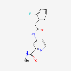 CC(C)(C)NC(=O)c1cc(NC(=O)Cc2ccccc2F)ccn1